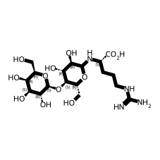 N=C(N)NCCC[C@H](NC1O[C@H](CO)[C@@H](O[C@@H]2O[C@H](CO)[C@H](O)[C@H](O)[C@H]2O)[C@H](O)[C@H]1O)C(=O)O